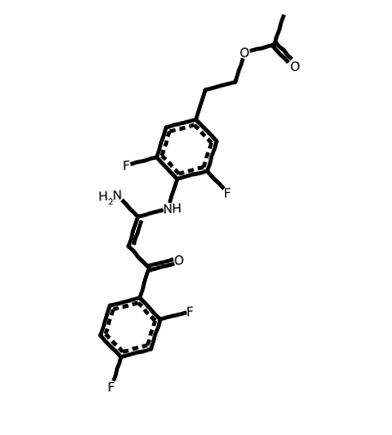 CC(=O)OCCc1cc(F)c(N/C(N)=C\C(=O)c2ccc(F)cc2F)c(F)c1